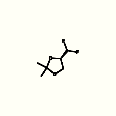 CC1(C)OC[C@H](C(F)F)O1